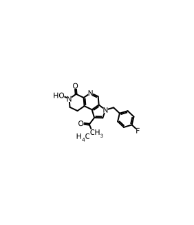 C.CC(=O)c1cn(Cc2ccc(F)cc2)c2cnc3c(c12)CCN(O)C3=O